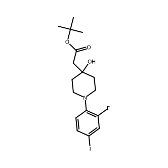 CC(C)(C)OC(=O)CC1(O)CCN(c2ccc(I)cc2F)CC1